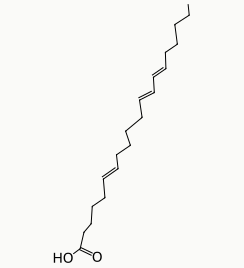 CCCCCC=CC=CCCCCC=CCCCCC(=O)O